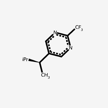 CC(C)[C@H](C)c1cnc(C(F)(F)F)nc1